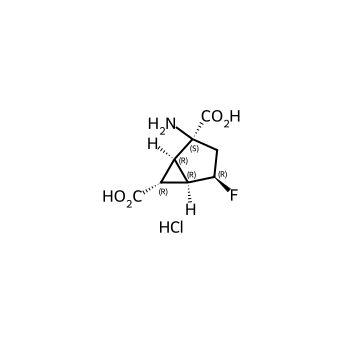 Cl.N[C@@]1(C(=O)O)C[C@@H](F)[C@H]2[C@H](C(=O)O)[C@H]21